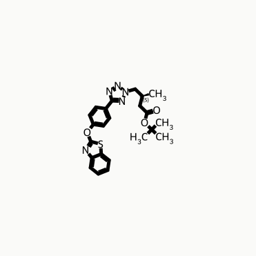 C[C@@H](CC(=O)OC(C)(C)C)Cn1nnc(-c2ccc(Oc3nc4ccccc4s3)cc2)n1